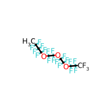 CC(F)(F)C(F)(F)C(F)(F)OC(F)(F)C(F)(F)OC(F)(F)C(F)(F)OC(F)(F)C(F)(F)C(F)(F)F